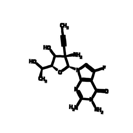 CC#C[C@@]1(N)C(O)[C@@H]([C@@H](C)O)O[C@H]1n1cc(F)c2c(=O)n(N)c(N)nc21